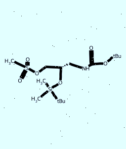 CC(C)(C)OC(=O)NC[C@@H](COS(C)(=O)=O)O[Si](C)(C)C(C)(C)C